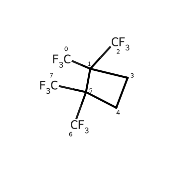 FC(F)(F)C1(C(F)(F)F)CCC1(C(F)(F)F)C(F)(F)F